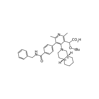 Cc1nc(C)c(C(OC(C)(C)C)C(=O)O)c(N2CC[C@H]3CCCC[C@H]3C2)c1-c1ccc(C(=O)NCc2ccccc2)cc1